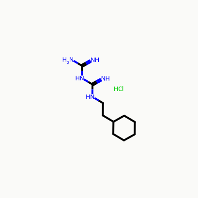 Cl.N=C(N)NC(=N)NCCC1CCCCC1